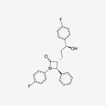 O=C1[C@H](CC[C@H](O)c2ccc(F)cc2)[C@@H](c2ccccc2)N1c1ccc(F)cc1